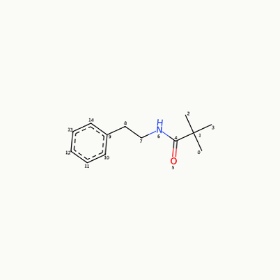 CC(C)(C)C(=O)NCCc1ccccc1